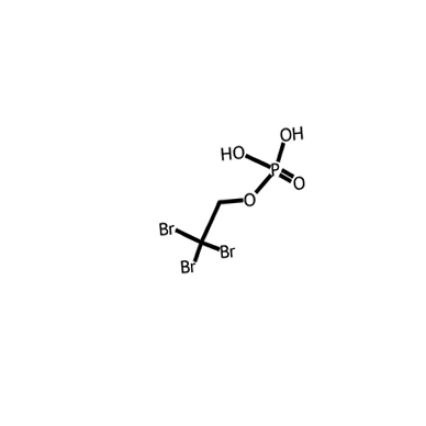 O=P(O)(O)OCC(Br)(Br)Br